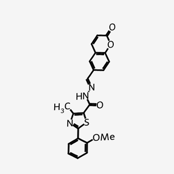 COc1ccccc1-c1nc(C)c(C(=O)N/N=C/c2ccc3oc(=O)ccc3c2)s1